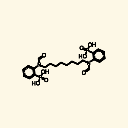 O=CN(CCCCCCCCN(C=O)c1ccccc1P(=O)(O)O)c1ccccc1P(=O)(O)O